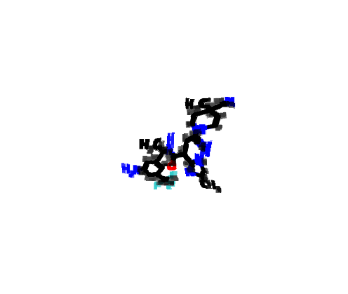 C[C@@H]1CN2N=C(N3CCC(C)(C#N)CC3)C=C(C(=O)N[C@H](C)c3cc(N)cc(C(F)(F)F)c3)C2=N1